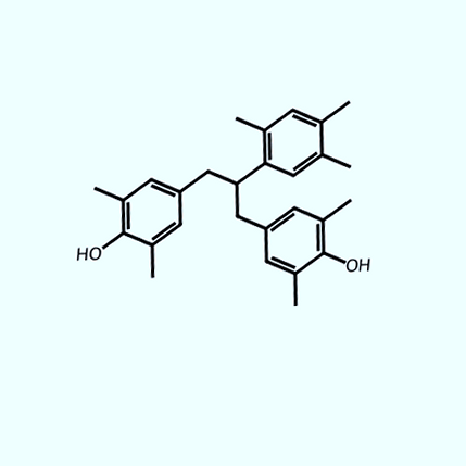 Cc1cc(C)c(C(Cc2cc(C)c(O)c(C)c2)Cc2cc(C)c(O)c(C)c2)cc1C